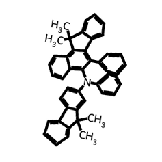 CC1(C)c2ccccc2-c2ccc(N(c3ccccc3)c3c(-c4ccccc4)c4c(c5ccccc35)C(C)(C)c3ccccc3-4)cc21